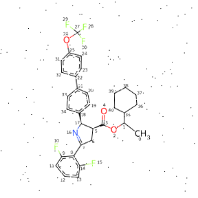 CC(OC(=O)[C@H]1CC(c2c(F)cccc2F)=N[C@H]1c1ccc(-c2ccc(OC(F)(F)F)cc2)cc1)C1CCCCC1